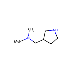 CNN(C)CC1CCNC1